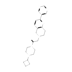 O=C(CN1CCc2nc(-c3cncnc3)ccc2C1)N1CCN(C2CCC2)CC1